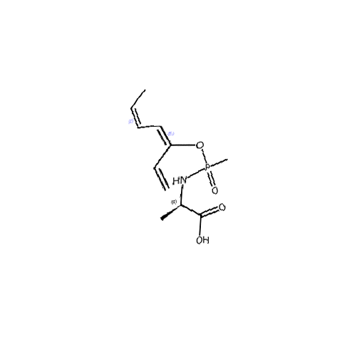 C=C/C(=C\C=C/C)OP(C)(=O)N[C@H](C)C(=O)O